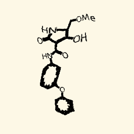 COCC1NC(=O)C(C(=O)Nc2cccc(Oc3ccccc3)c2)=C1O